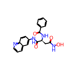 O=C(C[C@H](NC(=O)c1ccccc1)C(=O)Nc1ccc2ncccc2c1)NO